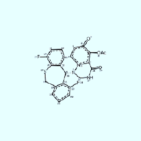 CC(=O)Oc1c2n(ccc1=O)N([C@H]1c3cccc(F)c3SCc3cccc(F)c31)CNC2=O